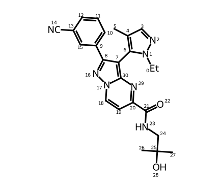 CCn1ncc(C)c1-c1c(-c2cccc(C#N)c2)nn2ccc(C(=O)NCC(C)(C)O)nc12